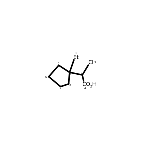 CCC1(C(Cl)C(=O)O)CCCC1